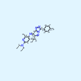 CCN(CC)c1ccc(/N=C2\C(C(C)(C)C)=Nn3c2nnc3-c2ccc(C)cc2)c(C)n1